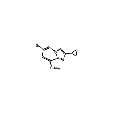 COc1cc(Br)cn2cc(C3CC3)nc12